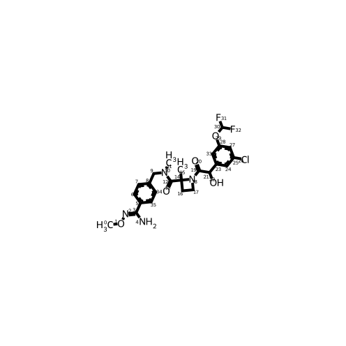 CO/N=C(\N)c1ccc(CN(C)C(=O)C2(C)CCN2C(=O)C(O)c2cc(Cl)cc(OC(F)F)c2)cc1